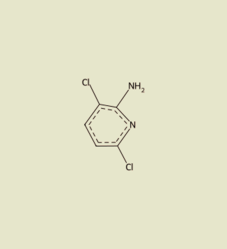 Nc1nc(Cl)ccc1Cl